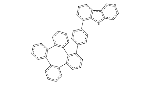 c1ccc2c(c1)-c1ccccc1-c1cccc(-c3ccc(-c4cccc5c4sc4ccncc45)cc3)c1-c1ccccc1-2